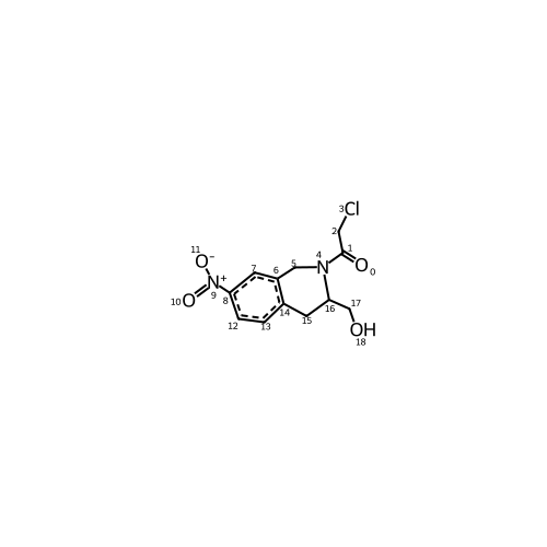 O=C(CCl)N1Cc2cc([N+](=O)[O-])ccc2CC1CO